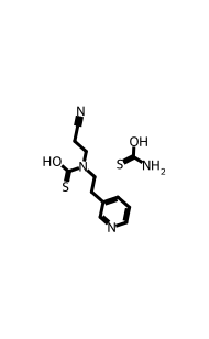 N#CCCN(CCc1cccnc1)C(O)=S.NC(O)=S